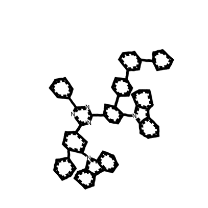 c1ccc(-c2cccc(-c3ccc(-c4cc(-c5nc(-c6ccccc6)nc(-c6ccc(-c7ccccc7)c(-n7c8ccccc8c8ccccc87)c6)n5)ccc4-n4c5ccccc5c5ccccc54)cc3)c2)cc1